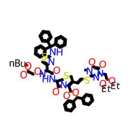 CCCCOC(=O)CON=C(C(=O)NC1C(=O)N2C(C(=O)OC(c3ccccc3)c3ccccc3)=C(C=CSc3nn(CC(OCC)OCC)c(=O)c(=O)n3C)CSC12)c1csc(NC(c2ccccc2)(c2ccccc2)c2ccccc2)n1